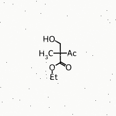 CCOC(=O)C(C)(CO)C(C)=O